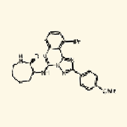 COc1ccc(-c2nc3c4c(C(C)C)cccc4nc(NC4CCCCNC4=O)n3n2)cc1